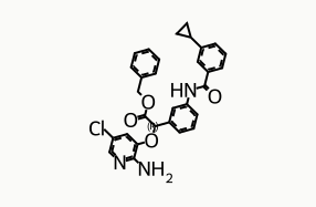 Nc1ncc(Cl)cc1O[C@@H](C(=O)OCc1ccccc1)c1cccc(NC(=O)c2cccc(C3CC3)c2)c1